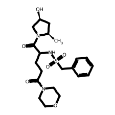 C[C@@H]1C[C@H](O)CN1C(=O)C(CCC(=O)N1CCOCC1)NS(=O)(=O)Cc1ccccc1